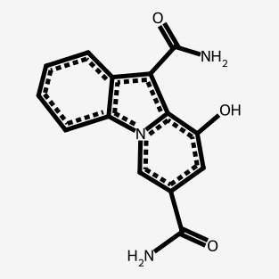 NC(=O)c1cc(O)c2c(C(N)=O)c3ccccc3n2c1